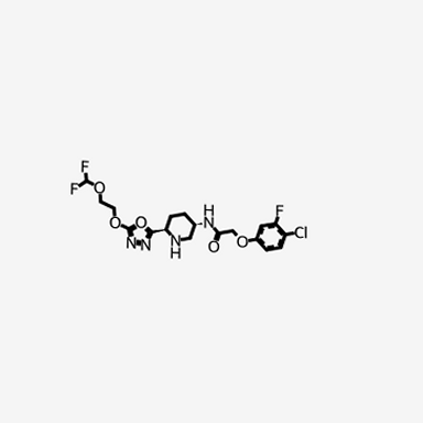 O=C(COc1ccc(Cl)c(F)c1)N[C@H]1CC[C@H](c2nnc(OCCOC(F)F)o2)NC1